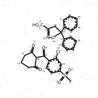 CS(=O)(=O)c1ccc(C(=O)C2C(=O)CCCC2=O)c(Cl)c1.O=C(O)C1=NOC(c2ccccc2)(c2ccccc2)C1